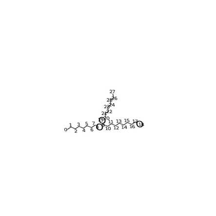 CCCCCCCCOC(CCCCCCCC=O)OCCCCCCCC